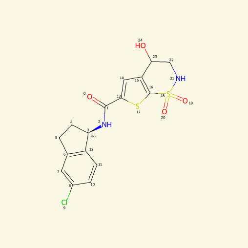 O=C(N[C@@H]1CCc2cc(Cl)ccc21)c1cc2c(s1)S(=O)(=O)NCC2O